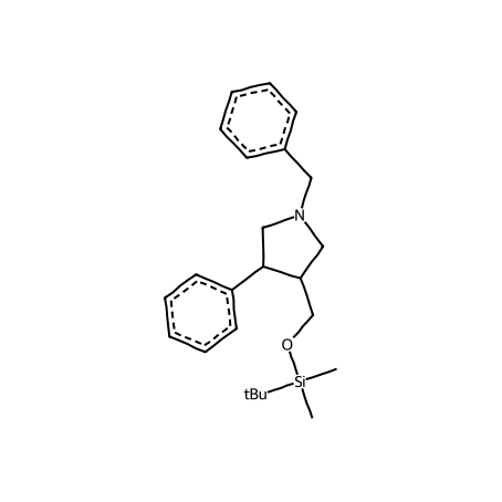 CC(C)(C)[Si](C)(C)OCC1CN(Cc2ccccc2)CC1c1ccccc1